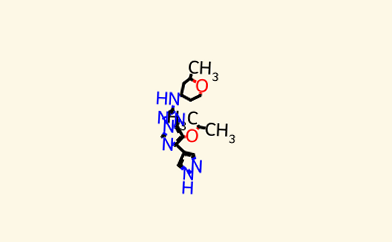 CC(C)Oc1c(-c2cn[nH]c2)ncn2nc(NC3CCOC(C)C3)nc12